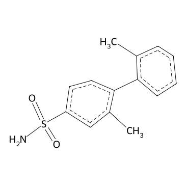 Cc1ccccc1-c1ccc(S(N)(=O)=O)cc1C